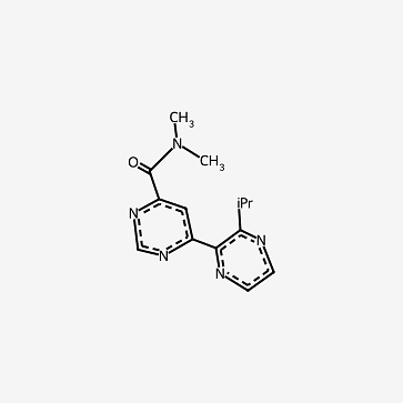 CC(C)c1nccnc1-c1cc(C(=O)N(C)C)ncn1